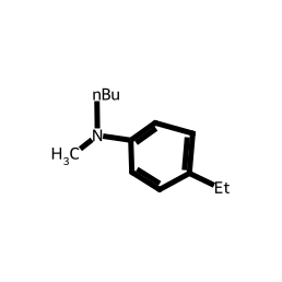 [CH2]Cc1ccc(N(C)CCCC)cc1